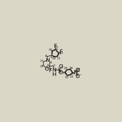 O=C(NCC1(F)CN(Cc2ccc(F)c(F)c2)CCO1)Oc1ccc([N+](=O)[O-])cc1